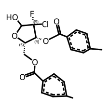 Cc1ccc(C(=O)OC[C@@H]2OC(O)[C@@](F)(Cl)[C@@H]2OC(=O)c2ccc(C)cc2)cc1